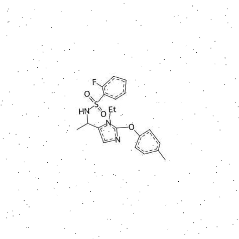 CCn1c(C(C)NS(=O)(=O)c2ccccc2F)cnc1Oc1ccc(C)cc1